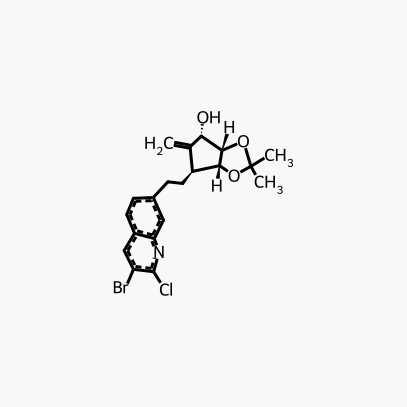 C=C1[C@H](O)[C@@H]2OC(C)(C)O[C@@H]2[C@H]1CCc1ccc2cc(Br)c(Cl)nc2c1